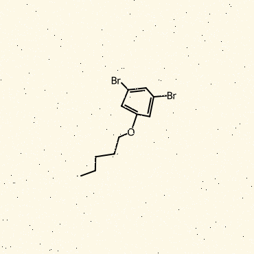 [CH2]CC[CH]COc1cc(Br)cc(Br)c1